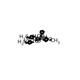 CCOc1ccc(C[C@@H](NC(=O)c2ccccc2)C(=O)N[C@@H](Cc2ccc(OC)cc2)C(=O)NCc2ccc(CN)cc2)cc1